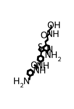 NCc1cccc(NC(=O)Nc2ccc(-c3csc4c(C=CC(=O)NCCO)cnc(N)c34)cc2)c1